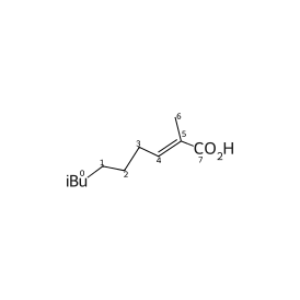 CCC(C)CCCC=C(C)C(=O)O